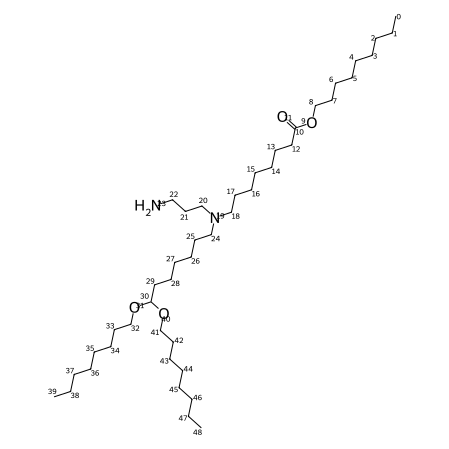 CCCCCCCCCOC(=O)CCCCCCCN(CCCN)CCCCCCC(OCCCCCCCC)OCCCCCCCC